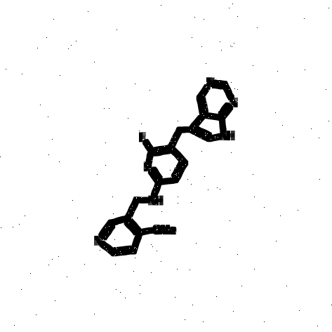 COc1ccncc1CNc1ccc(Cc2c[nH]c3ncncc23)c(F)n1